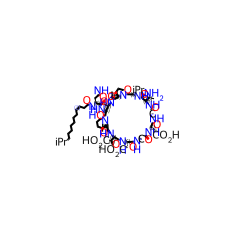 CC(C)CCCCCCC/C=C\CC(=O)N[C@@H](CC(N)=O)C(=O)N[C@@H]1C(=O)N2CCCC[C@@H]2C(=O)N[C@@H]([C@H](C)C(=O)O)C(=O)N[C@@H](CC(=O)O)C(=O)NCC(=O)N[C@@H](CC(=O)O)C(=O)NCC(=O)N[C@H]([C@H](C)N)C(=O)N[C@@H](C(C)C)C(=O)N2CCC[C@H]2C(=O)N[C@@H]1C